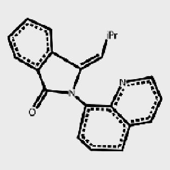 CC(C)C=C1c2ccccc2C(=O)N1c1cccc2cccnc12